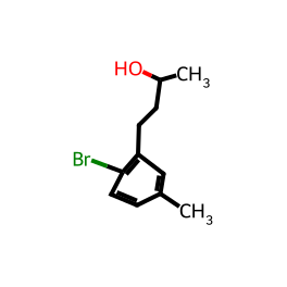 Cc1ccc(Br)c(CCC(C)O)c1